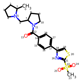 CC1CCCN1CC1CCCN1C(=O)c1ccc(-c2csc(S(C)(=O)=O)n2)cc1